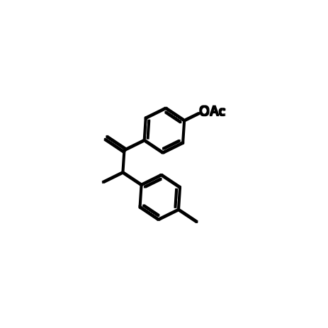 C=C(c1ccc(OC(C)=O)cc1)C(C)c1ccc(C)cc1